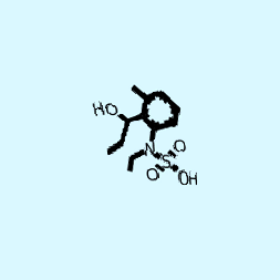 CCC(O)c1c(C)cccc1N(CC)S(=O)(=O)O